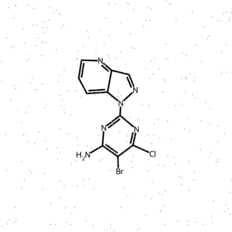 Nc1nc(-n2ncc3ncccc32)nc(Cl)c1Br